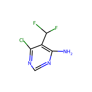 Nc1ncnc(Cl)c1C(F)F